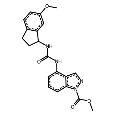 COC(=O)n1ncc2c(NC(=O)NC3CCc4ccc(OC)cc43)cccc21